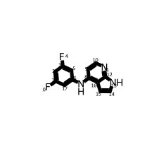 Fc1cc(F)cc(Nc2ccnc3[nH]ccc23)c1